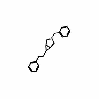 [CH](CC1C2CN(Cc3ccccc3)CC12)c1ccccc1